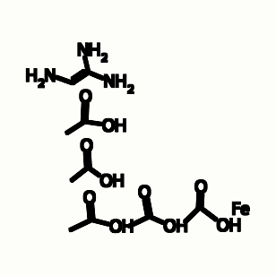 CC(=O)O.CC(=O)O.CC(=O)O.CC(=O)O.CC(=O)O.NC=C(N)N.[Fe]